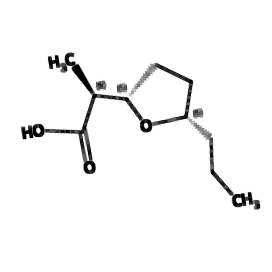 CCC[C@H]1CC[C@@H]([C@H](C)C(=O)O)O1